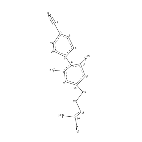 N#Cc1ccc(-c2c(F)cc(CCC=C(F)F)cc2F)cc1